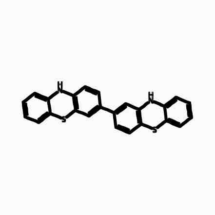 c1ccc2c(c1)Nc1cc(-c3ccc4c(c3)Sc3ccccc3N4)ccc1S2